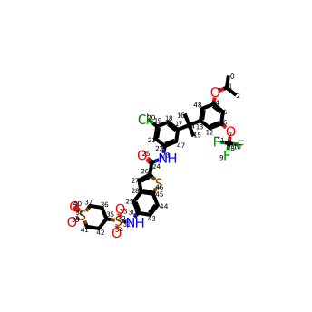 CC(C)Oc1cc(OC(F)(F)F)cc(C(C)(C)c2cc(Cl)cc(NC(=O)c3cc4cc(NS(=O)(=O)C5CCS(=O)(=O)CC5)ccc4s3)c2)c1